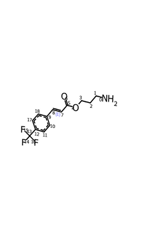 NCCCOC(=O)/C=C/c1ccc(C(F)(F)F)cc1